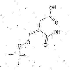 CC(C)(C)OOC=C(CC(=O)O)C(=O)O